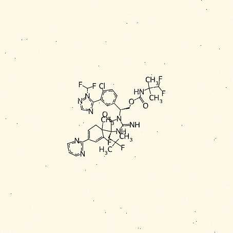 CC(C)(F)C[C@]1(C2(C)CC=C(c3ncccn3)C=C2F)NC(=N)N([C@H](COC(=O)NC(C)(C)C(F)F)c2ccc(Cl)c(-c3ncnn3C(F)F)c2)C1=O